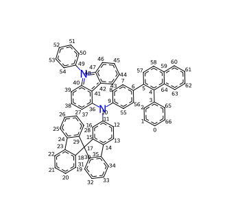 c1ccc(-c2c(-c3ccc(N(c4ccc5c(c4)C4(c6ccccc6-c6ccccc64)c4ccccc4-5)c4cccc5c4c4ccccc4n5-c4ccccc4)cc3)ccc3ccccc23)cc1